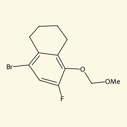 COCOc1c(F)cc(Br)c2c1CCCC2